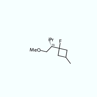 COC[C@H](C(C)C)C1(F)CC(C)C1